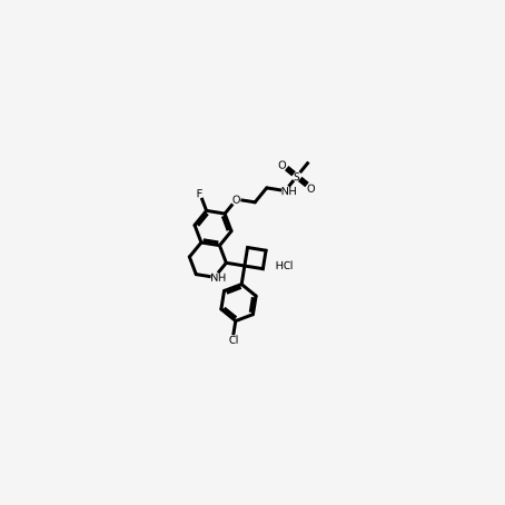 CS(=O)(=O)NCCOc1cc2c(cc1F)CCNC2C1(c2ccc(Cl)cc2)CCC1.Cl